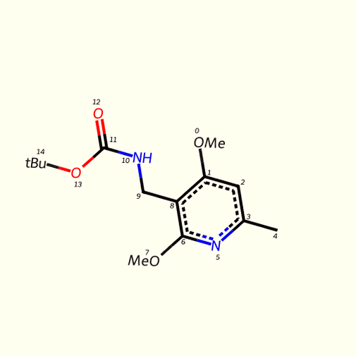 COc1cc(C)nc(OC)c1CNC(=O)OC(C)(C)C